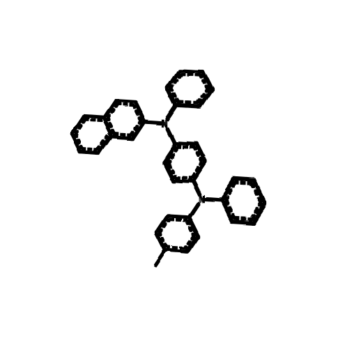 Cc1ccc(N(c2ccccc2)c2ccc(N(c3ccccc3)c3ccc4ccccc4c3)cc2)cc1